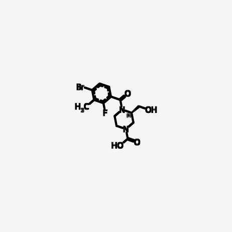 Cc1c(Br)ccc(C(=O)N2CCN(C(=O)O)C[C@@H]2CO)c1F